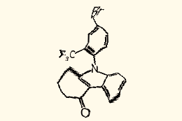 O=C1CCCc2c1c1ccccc1n2-c1ccc(Br)cc1C(F)(F)F